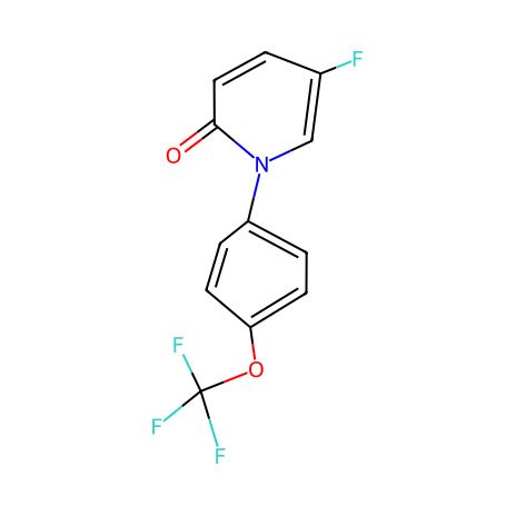 O=c1ccc(F)cn1-c1ccc(OC(F)(F)F)cc1